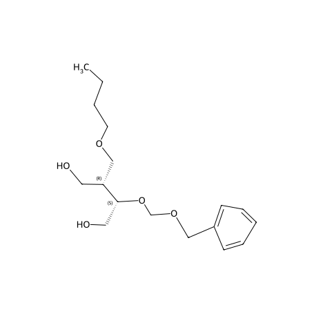 CCCCOC[C@@H](CO)[C@@H](CO)OCOCc1ccccc1